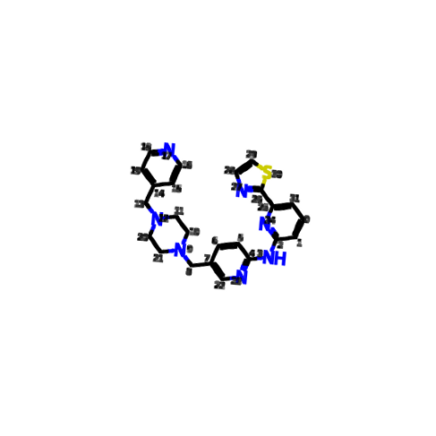 c1cc(Nc2ccc(CN3CCN(Cc4ccncc4)CC3)cn2)nc(-c2nccs2)c1